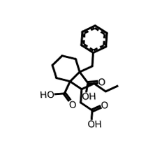 CCCC(CC(=O)O)C1(C(=O)O)CCCCC1(Cc1ccccc1)C(=O)O